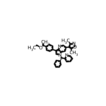 C=C(OCC)c1ccc(-c2cn([C@H](c3ccccc3)c3ccccn3)c3cc(-c4c(C)noc4C)cnc23)cc1